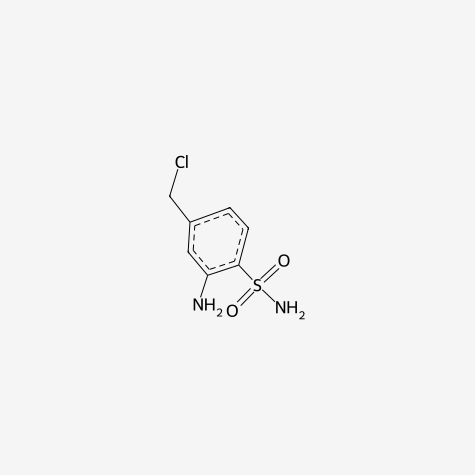 Nc1cc(CCl)ccc1S(N)(=O)=O